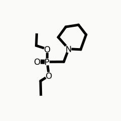 CCOP(=O)(CN1CCCCC1)OCC